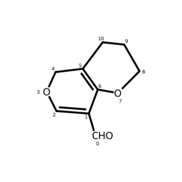 O=CC1=COCC2=C1OCCC2